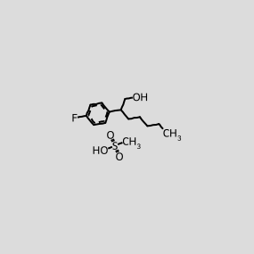 CCCCCC(CO)c1ccc(F)cc1.CS(=O)(=O)O